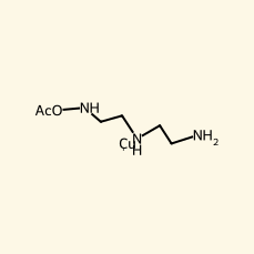 CC(=O)ONCCNCCN.[Cu]